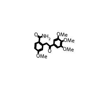 COc1ccc(C(N)=O)c(CC(=O)c2cc(OC)c(OC)c(OC)c2)c1